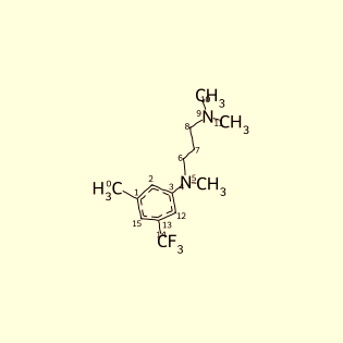 Cc1cc(N(C)CCCN(C)C)cc(C(F)(F)F)c1